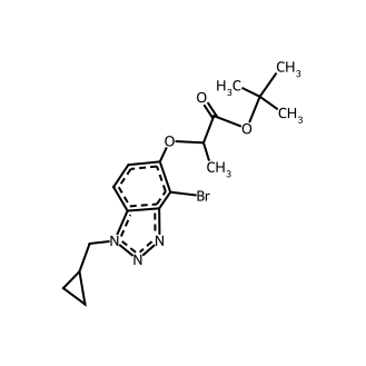 CC(Oc1ccc2c(nnn2CC2CC2)c1Br)C(=O)OC(C)(C)C